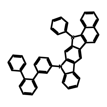 c1ccc(-c2ccccc2-c2cccc(-n3c4ccccc4c4cc5c6ccc7ccccc7c6n(-c6ccccc6)c5cc43)c2)cc1